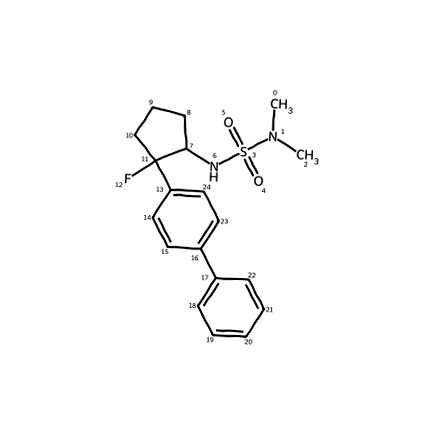 CN(C)S(=O)(=O)NC1CCCC1(F)c1ccc(-c2ccccc2)cc1